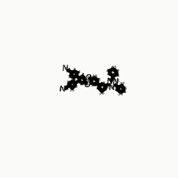 N#Cc1ccc(-c2cc3c(cc2-c2ccc(C#N)cc2)Oc2cc(-c4cccc(-c5nc(-c6ccccc6)nc(-c6ccccc6)n5)c4)ccc2O3)cc1